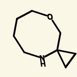 C1CCOCC2(CC2)NC1